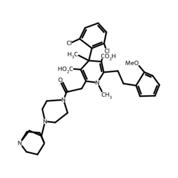 COc1ccccc1CCC1=C(C(=O)O)C(C)(c2c(Cl)cccc2Cl)C(C(=O)O)=C(CC(=O)N2CCN(C3CN4CCC3CC4)CC2)N1C